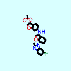 CC(=O)O[C@@H]1COc2cc(N[C@H]3COc4c3cccc4-n3c(C)nc4ccc(F)cc43)ccc21